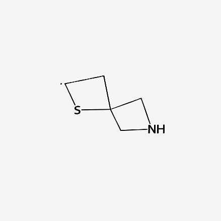 [CH]1CC2(CNC2)S1